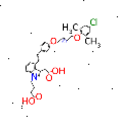 Cc1cc(Cl)cc(C)c1OC/C=C/COc1ccc(C=Cc2cccc3c2c(CC(=O)O)cn3CCCC(=O)O)cc1